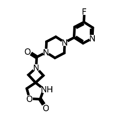 O=C1NC2(CO1)CN(C(=O)N1CCN(c3cncc(F)c3)CC1)C2